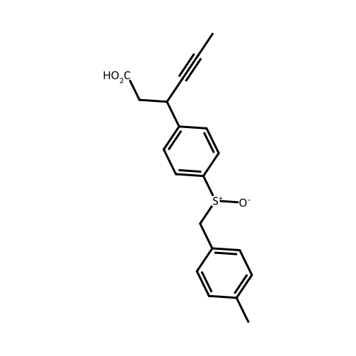 CC#CC(CC(=O)O)c1ccc([S+]([O-])Cc2ccc(C)cc2)cc1